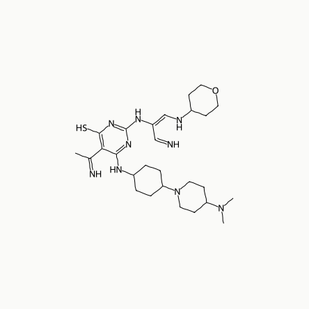 CC(=N)c1c(S)nc(N/C(C=N)=C/NC2CCOCC2)nc1NC1CCC(N2CCC(N(C)C)CC2)CC1